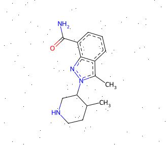 Cc1c2cccc(C(N)=O)c2nn1C1CNCCC1C